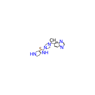 CC(c1ccc2nccnc2c1)N1CCN(C2NC3=C(CNCC3)S2)CC1